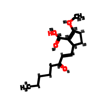 CCCCCC(=O)/C=C/C1CCC(OC)=C1C(=O)O